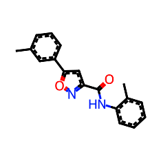 Cc1cccc(-c2cc(C(=O)Nc3ccccc3C)no2)c1